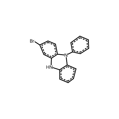 Brc1ccc2c(c1)Nc1ccccc1N2c1ccccc1